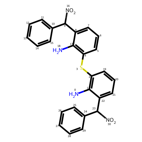 Nc1c(Sc2cccc(C(c3ccccc3)[N+](=O)[O-])c2N)cccc1C(c1ccccc1)[N+](=O)[O-]